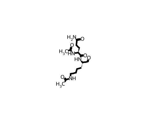 CC(=O)NCCCC[C@@H](C=O)NC(=O)[C@H](CCC(N)=O)NC(C)=O